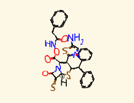 Nc1cnc(C2=C(C(=O)ONC(=O)Cc3ccccc3)N3C(=O)C(=S)[C@@H]3SC2C(c2ccccc2)c2ccccc2)s1